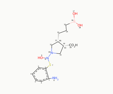 Nc1ccccc1SN(O)N1C[C@H](CCCB(O)O)[C@H](C(=O)O)C1